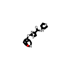 O=C(Nc1ccncc1)c1csc(OC2C3CC4CC2CN(C4)C3)n1